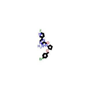 Nc1ncc(-c2ccc(F)nc2)nc1C(=O)N[C@H]1CCC[C@@H]1OCc1ccc(Br)cc1